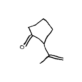 C=C(C)C1CCCC1=O